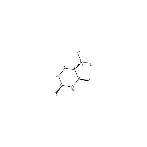 C[C@H]1CC[C@@H](N(C)C)[C@@H](C)O1